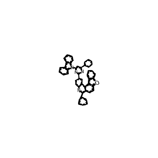 c1ccc(-c2cc(-n3c4ccccc4c4ccccc43)nc(-c3ccc4nc(-c5ccccc5)c5ccc6oc7ccccc7c6c5c4c3)n2)cc1